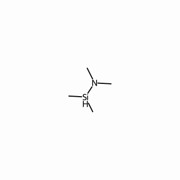 CN(C)[SiH](C)C